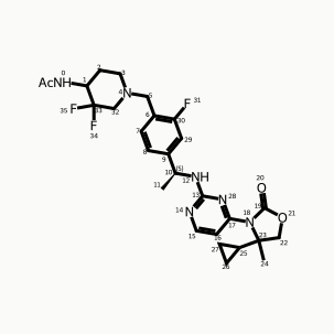 CC(=O)NC1CCN(Cc2ccc([C@H](C)Nc3nccc(N4C(=O)OCC4(C)C4CC4)n3)cc2F)CC1(F)F